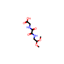 COC(CNC(=O)C(=O)NCC(=O)O)OC